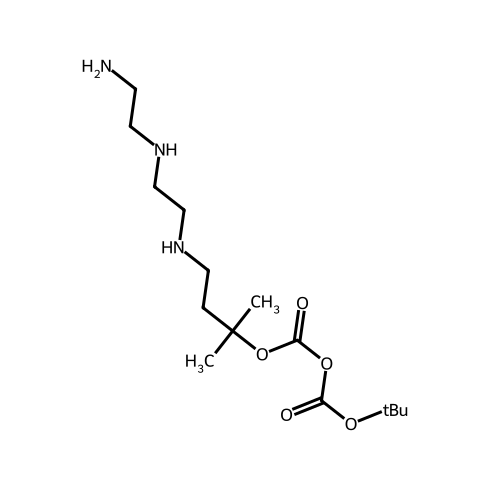 CC(C)(C)OC(=O)OC(=O)OC(C)(C)CCNCCNCCN